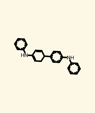 C1=CC(c2ccc(Nc3ccccc3)cc2)CC=C1Nc1ccccc1